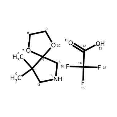 CC1(C)CNCC12OCCO2.O=C(O)C(F)(F)F